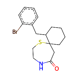 O=C1CC2(CCCCC2Cc2ccccc2Br)SCCN1